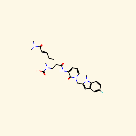 CN(C)C(=O)/C=C/CC[C@@H](CN(C)C(=O)O)C(=O)Nc1cccn(Cc2cc3cc(F)ccc3n2C)c1=O